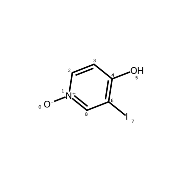 [O-][n+]1ccc(O)c(I)c1